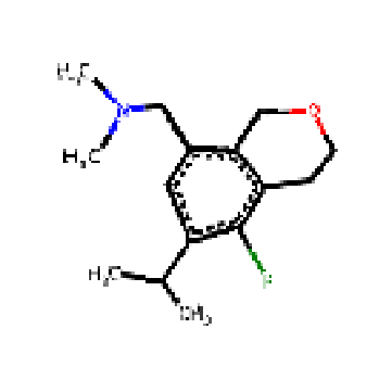 CC(C)c1cc(CN(C)C)c2c(c1F)CCOC2